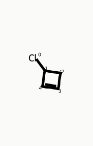 ClC1[CH]C=C1